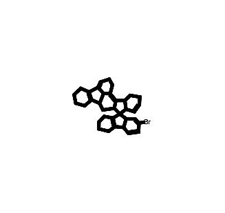 BrC1=CC2C(C=C1)C1=C(CCCC1)C21C2CC3C4=C(CCCC4)C4=CCCC(=C2C2CCC=CC21)C43